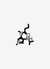 CCCC(=O)N(C)c1cn(C)cc1NC(C)C